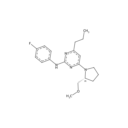 CCCc1cc(N2CCC[C@@H]2COC)nc(Nc2ccc(F)cc2)n1